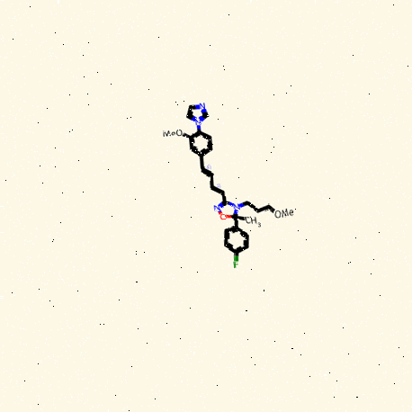 COCCCN1C(/C=C/C=C/c2ccc(-n3ccnc3)c(OC)c2)=NOC1(C)c1ccc(F)cc1